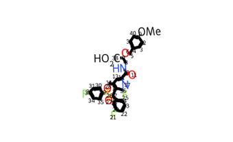 COc1ccc(COC(CNC(=O)c2cc(C)c(C(c3cc(F)ccc3F)S(=O)(=O)c3ccc(F)cc3)cn2)C(=O)O)cc1